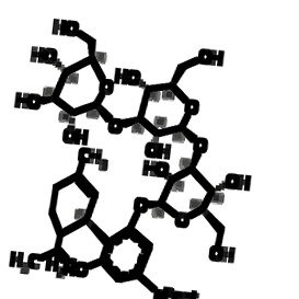 C=C(C)C1CCC(C)=C[C@H]1c1c(O)cc(CCCCC)cc1O[C@@H]1O[C@H](CO)[C@@H](O)[C@H](O[C@@H]2O[C@H](CO)[C@@H](O)[C@H](O[C@@H]3O[C@H](CO)[C@@H](O)[C@H](O)[C@H]3O)[C@H]2O)[C@H]1O